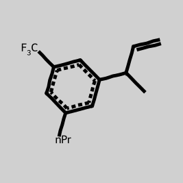 C=C[C](C)c1cc(CCC)cc(C(F)(F)F)c1